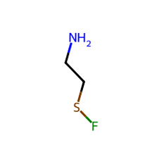 NCCSF